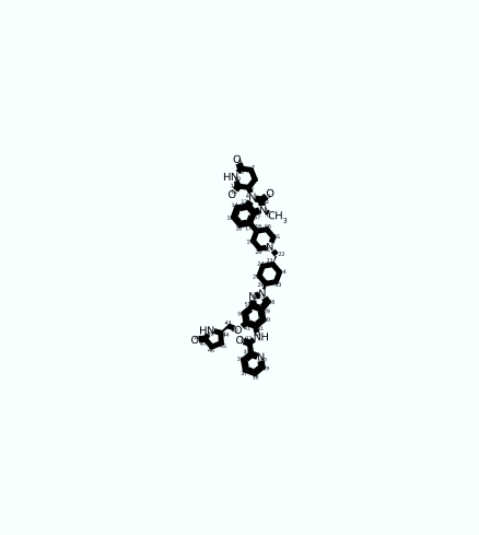 Cn1c(=O)n(C2CCC(=O)NC2=O)c2cccc(C3CCN(C[C@H]4CC[C@H](n5cc6cc(NC(=O)c7ccccn7)c(OC[C@H]7CCC(=O)N7)cc6n5)CC4)CC3)c21